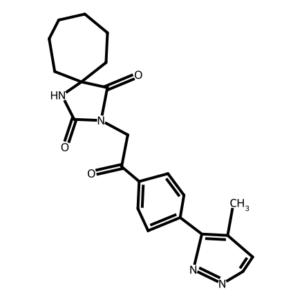 Cc1ccnnc1-c1ccc(C(=O)CN2C(=O)NC3(CCCCCC3)C2=O)cc1